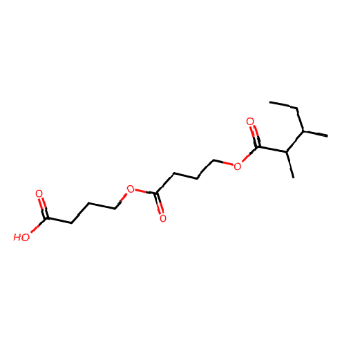 CCC(C)C(C)C(=O)OCCCC(=O)OCCCC(=O)O